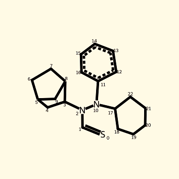 S=CN(C1CC2CCC1C2)N(c1ccccc1)C1CCCCC1